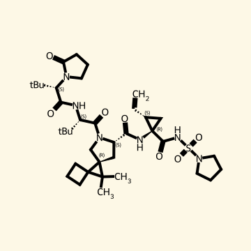 C=C[C@@H]1C[C@]1(NC(=O)[C@@H]1C[C@@]2(CN1C(=O)[C@@H](NC(=O)[C@@H](N1CCCC1=O)C(C)(C)C)C(C)(C)C)C(C)(C)C21CCC1)C(=O)NS(=O)(=O)N1CCCC1